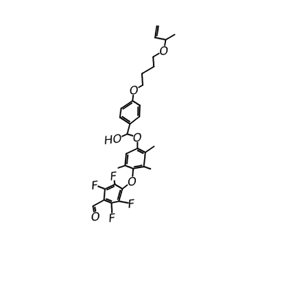 C=CC(C)OCCCCOc1ccc(C(O)Oc2cc(C)c(Oc3c(F)c(F)c(C=O)c(F)c3F)c(C)c2C)cc1